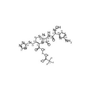 CC(C)(C)C(=O)OCOC(=O)C1=C(CSc2ncns2)CS[C@H]2C(NC(=O)C(=NO)c3csc(N)n3)C(=O)N12